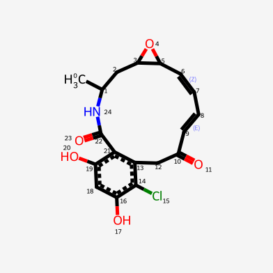 CC1CC2OC2/C=C\C=C\C(=O)Cc2c(Cl)c(O)cc(O)c2C(=O)N1